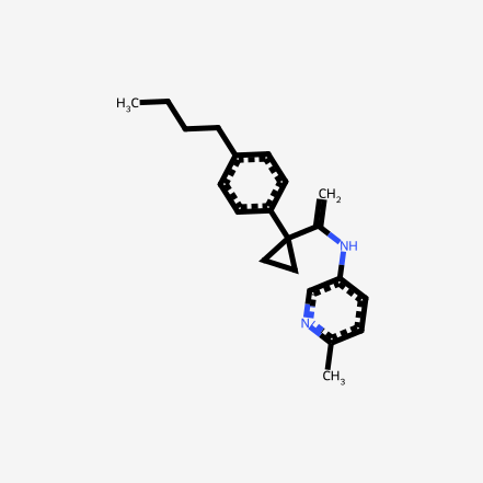 C=C(Nc1ccc(C)nc1)C1(c2ccc(CCCC)cc2)CC1